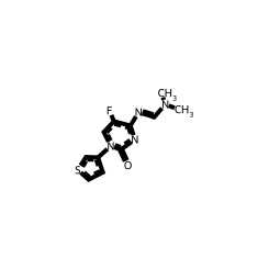 CN(C)C=Nc1nc(=O)n(-c2ccsc2)cc1F